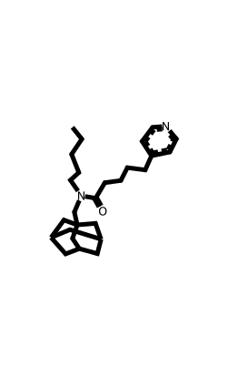 CCCCCN(CC12CC3CC(CC(C3)C1)C2)C(=O)CCCCc1ccncc1